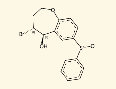 [O-][S+](c1ccccc1)c1ccc2c(c1)[C@@H](O)[C@H](Br)CCO2